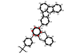 CC(C)(C)c1ccc(-c2ccc(-c3ccc4c(c3)c3cccc5c6ccccc6n4c53)c3c2C2c4ccccc4C3c3ccccc32)cc1